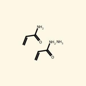 C=CC(N)=O.C=CC(N)=O.N